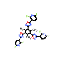 Cc1c(-c2noc(-c3ccc(F)nc3F)n2)c(C)c(-c2nc(-c3ccc(F)nc3F)no2)c(C)c1-c1nc(-c2ccc(F)nc2F)no1